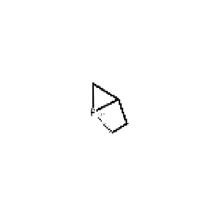 C1C[P@]2CC12